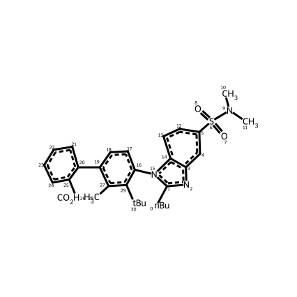 CCCCc1nc2cc(S(=O)(=O)N(C)C)ccc2n1-c1ccc(-c2ccccc2C(=O)O)c(C)c1C(C)(C)C